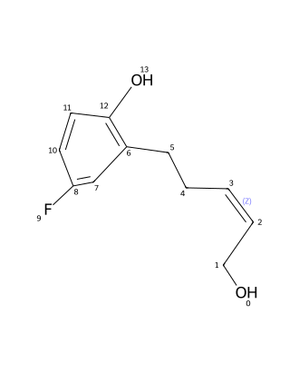 OC/C=C\CCc1cc(F)ccc1O